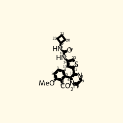 COc1cccc(-c2nccnc2-c2cc(NC(=O)NC3CCC3)cs2)c1C(=O)O